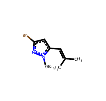 CC(C)=Cc1cc(Br)nn1C(C)(C)C